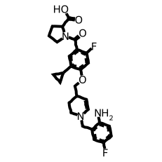 Nc1ccc(F)cc1CN1C=CC(COc2cc(F)c(C(=O)N3CCCC3C(=O)O)cc2C2CC2)CC1